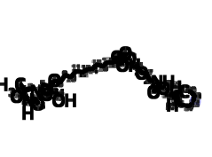 Cc1cn([C@H]2CC(OCCCCCCCCCCCOP(=O)(O)OCCOCCNC(=O)OC[C@@H]3[C@@H]4CC/C=C\CC[C@@H]43)[C@@H](CO)O2)c(=O)[nH]c1=O